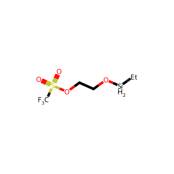 CC[SiH2]OCCOS(=O)(=O)C(F)(F)F